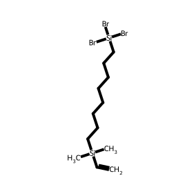 C=C[Si](C)(C)CCCCCCCC[Si](Br)(Br)Br